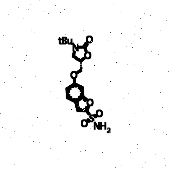 CC(C)(C)N1C[C@@H](COc2ccc3cc(S(N)(=O)=O)oc3c2)OC1=O